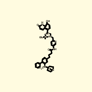 CC(C)(C)[Si](C)(C)O[C@H](CNCc1ccc(NC(=O)CCCc2ccc(-c3ccccc3)c(N(C(=O)O)C34CCN(CC3)CC4)c2)cn1)c1ccc(O)c2[nH]c(=O)ccc12